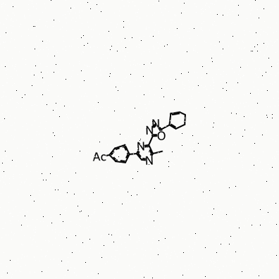 CC(=O)c1ccc(-c2cnc(C)c(-c3nnc(C4=CCCC=C4)o3)n2)cc1